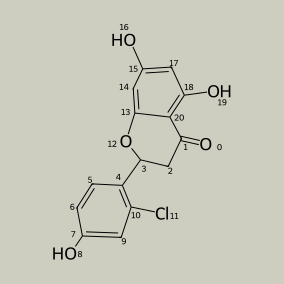 O=C1CC(c2ccc(O)cc2Cl)Oc2cc(O)cc(O)c21